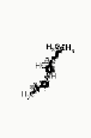 Cc1nc(-c2cccc(SNc3ccc(C(=O)OCCCCN(C)C)c(O)c3)c2)cs1